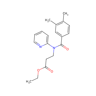 CCOC(=O)CCN(C(=O)c1ccc(C)c(C)c1)c1ccccn1